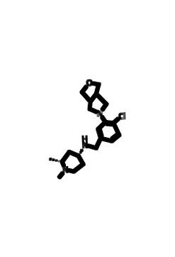 C[C@@H]1C[C@H](NCc2ccc(Cl)c(N3CC4COCC4C3)c2)CCN1C